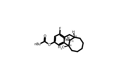 CCCCC(=O)Oc1cc(F)c2c(c1)[C@@]1(C)CCCCC[C@@H](C2)[C@@H]1N